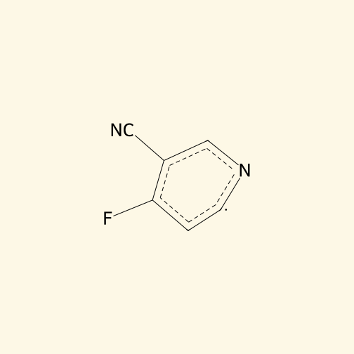 N#Cc1cn[c]cc1F